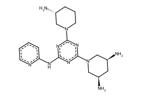 N[C@@H]1CCCN(c2nc(Nc3ccccn3)nc(N3C[C@H](N)C[C@H](N)C3)n2)C1